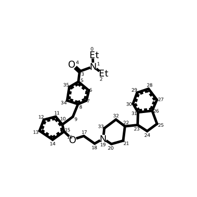 CCN(CC)C(=O)c1ccc(Cc2ccccc2OCCN2CCC(C3CCc4ccccc43)CC2)cc1